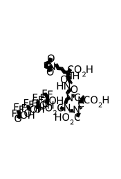 O=C(O)C(F)(F)F.O=C(O)C(F)(F)F.O=C(O)C(F)(F)F.O=C(O)C(F)(F)F.O=C(O)CN1CCN(CC(=O)O)CCN(CC(=O)NCC(=O)NC(CCCCN2C(=O)C=CC2=O)C(=O)O)CCN(CC(=O)O)CC1